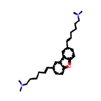 CN(C)CCCC/C=C/c1ccc2oc3ccc(/C=C/CCCCN(C)C)cc3c2c1